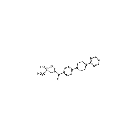 CC(C)(C)[C@](O)(CNC(=O)c1ccc(N2CCN(c3ncccn3)CC2)cc1)C(=O)O